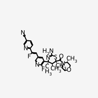 C[C@@H]1COCCN1C(=O)[C@@]1(C)SC(N)=N[C@](C)(c2cc(/C=C(\F)c3ccc(C#N)cn3)cnc2F)[C@@H]1C